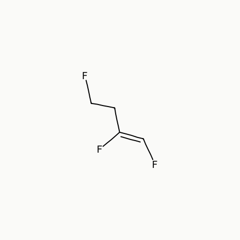 FC=C(F)CCF